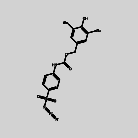 CC(C)(C)c1cc(COC(=O)Nc2ccc(S(=O)(=O)N=[N+]=[N-])cc2)cc(C(C)(C)C)c1O